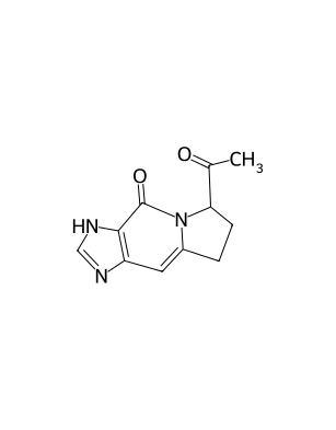 CC(=O)C1CCc2cc3nc[nH]c3c(=O)n21